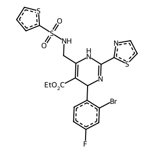 CCOC(=O)C1=C(CNS(=O)(=O)c2cccs2)NC(c2nccs2)=NC1c1ccc(F)cc1Br